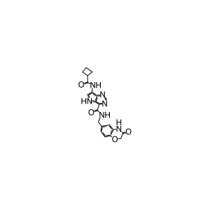 O=C1COc2ccc(CNC(=O)c3ncnc4c(NC(=O)C5CCC5)c[nH]c34)cc2N1